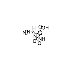 CN1CCN(CCNc2nc3c(c4ccc(C(=O)O)cc24)NC(=O)C3=O)CC1